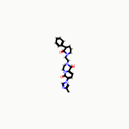 Cc1cn(-c2ccc3n(c2=O)CCN(CCN2CCCC(c4ccccc4)C2=O)C3=O)cn1